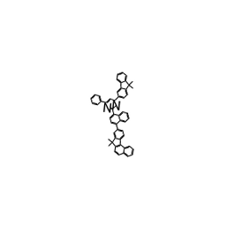 CC1(C)c2ccccc2-c2cc(-c3cc(-c4ccccc4)nc(-c4ccc(-c5ccc6c(c5)C(C)(C)c5ccc7ccccc7c5-6)c5ccccc45)n3)ccc21